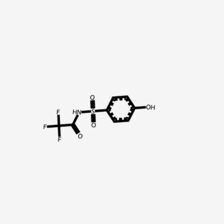 O=C(NS(=O)(=O)c1ccc(O)cc1)C(F)(F)F